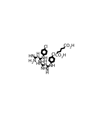 N=C(N)NC(=N)Nc1ccc(Cl)cc1.N=C(N)NC(=N)Nc1ccc(Cl)cc1.O=C(O)CCCCC(=O)O